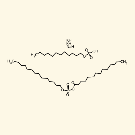 CCCCCCCCCCCCCCOS(=O)(=O)OC(=O)CCCCCCCCCCCCC.CCCCCCCCCCCCOS(=O)(=O)O.[KH].[KH].[NaH]